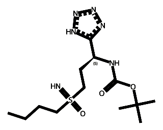 CCCCS(=N)(=O)CC[C@H](NC(=O)OC(C)(C)C)c1nnn[nH]1